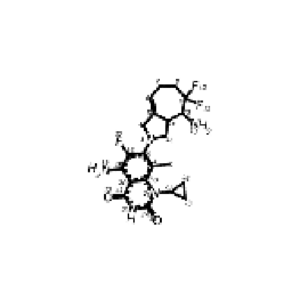 Cc1c(N2CC3=CCCC(F)(F)C(N)C3C2)c(F)c(N)c2c(=O)[nH]c(=O)n(C3CC3)c12